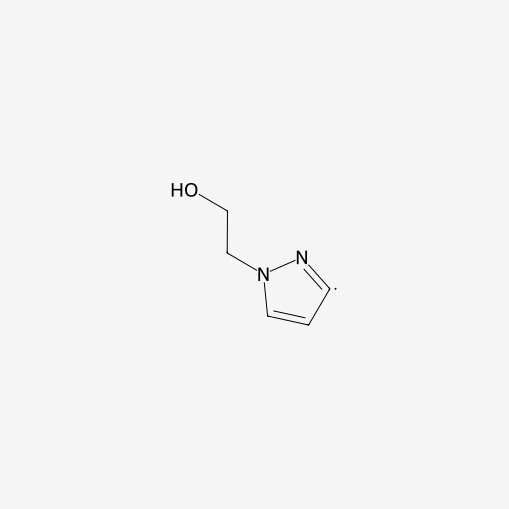 OCCn1cc[c]n1